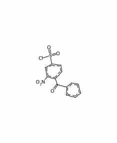 O=C(c1ccccc1)c1ccc(S(=O)(=O)Cl)cc1[N+](=O)[O-]